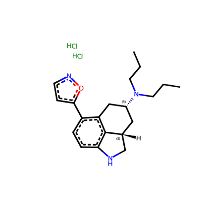 CCCN(CCC)[C@H]1Cc2c(-c3ccno3)ccc3c2[C@@H](CN3)C1.Cl.Cl